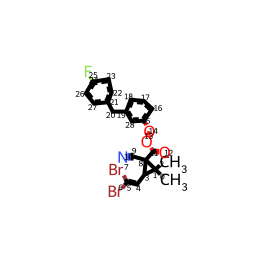 CC1(C)C(C=C(Br)Br)C1(C#N)C(=O)OOc1cccc(Cc2ccc(F)cc2)c1